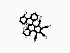 Cc1ccccc1-c1ccccc1-c1c(C)c2ncccc2c2c(C#N)c(C#N)c(C#N)c(C#N)c12